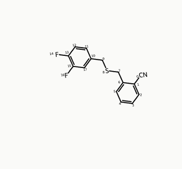 N#Cc1ccccc1CSCc1ccc(F)c(F)c1